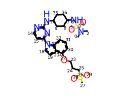 CN(C)S(=O)(=O)NC1CCC(Nc2nccc(-n3ccc4c(OCCCS(C)(=O)=O)cccc43)n2)CC1